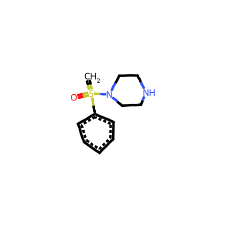 C=S(=O)(c1ccccc1)N1CCNCC1